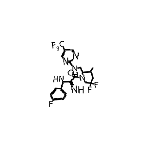 CC1CC(F)(F)CN(C(=O)C(=N)C(=N)c2ccc(F)cc2)C1CNc1ncc(C(F)(F)F)cn1